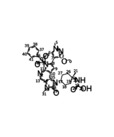 COc1nn(C)cc1-c1cc2c(ncc3c2n([C@H]2CC[C@@](C)(NC(=O)O)CC2)c(=O)n3C)n1S(=O)(=O)c1ccccc1